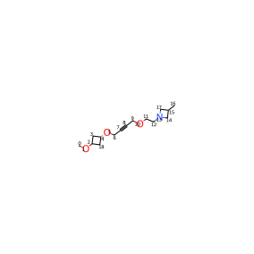 CO[C@H]1C[C@H](OCC#CCOCCN2CC(C)C2)C1